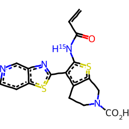 C=CC(=O)[15NH]c1sc2c(c1-c1nc3cnccc3s1)CCN(C(=O)O)C2